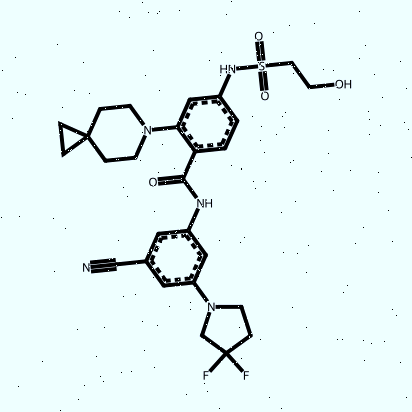 N#Cc1cc(NC(=O)c2ccc(NS(=O)(=O)CCO)cc2N2CCC3(CC2)CC3)cc(N2CCC(F)(F)C2)c1